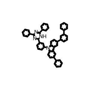 c1ccc(C2=NC(c3cccc(-n4c5ccc(-c6ccccc6)cc5c5cc(-c6cccc(-c7ccccc7)c6)ccc54)c3)NC(c3ccccc3)=N2)cc1